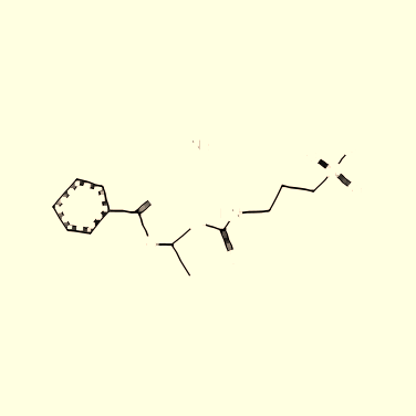 CC(OC(=O)NCCCS(=O)(=O)[O-])OC(=O)c1ccccc1.[Na+]